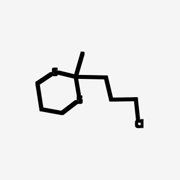 CC1(CCCCl)SCCCS1